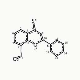 O=Cc1cccc2c(=S)cc(-c3ccccc3)oc12